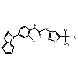 CC(C)(C)c1cc(NC(=O)Nc2ccc(-n3cnc4ccccc43)cc2Cl)no1